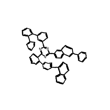 c1ccc(-c2ccc3cc(-c4nc(-c5cccc(-c6ccccc6-c6ccccc6)c5)nc(-c5ccccc5-c5ccc(-c6cccc7ccccc67)cc5)n4)ccc3c2)cc1